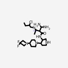 CCC(Cl)C/N=C(\C)C(C(=O)NC1CNCCC1N1CCC(N2CC(F)(F)C2)CC1)C(N)N